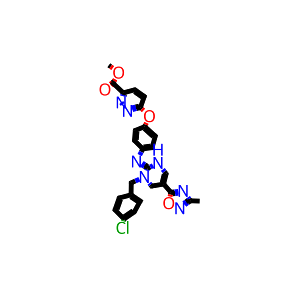 COC(=O)c1ccc(Oc2ccc(/N=C3\NC=C(c4nc(C)no4)CN3Cc3ccc(Cl)cc3)cc2)nn1